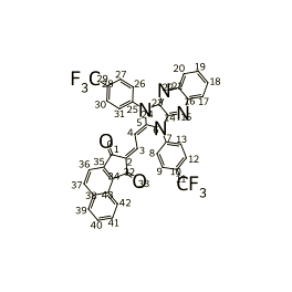 O=C1/C(=C\C=C2N(c3ccc(C(F)(F)F)cc3)c3nc4ccccc4nc3N2c2ccc(C(F)(F)F)cc2)C(=O)c2c1ccc1ccccc21